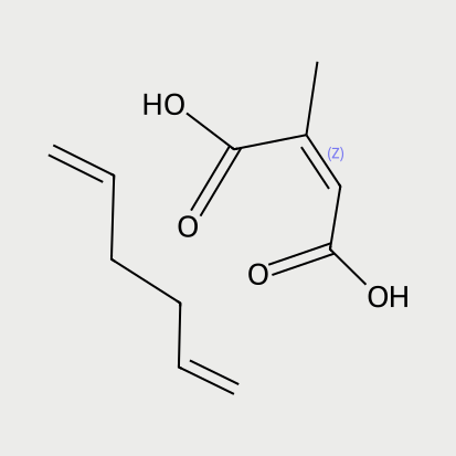 C/C(=C/C(=O)O)C(=O)O.C=CCCC=C